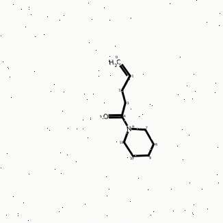 C=CCCC(=O)N1CCCCC1